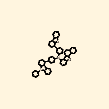 c1ccc(-n2c3ccccc3c3c(-c4ccc(N(c5cccc(-c6cccc7c6sc6ccccc67)c5)c5cccc6oc7c8ccccc8ccc7c56)cc4)cccc32)cc1